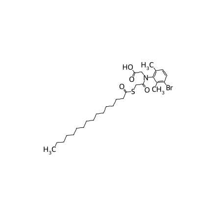 CCCCCCCCCCCCCCCC(=O)SCC(=O)N(CC(=O)O)c1c(C)ccc(Br)c1C